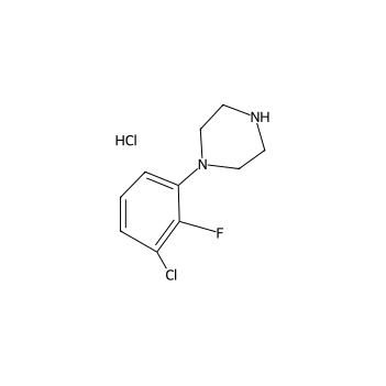 Cl.Fc1c(Cl)cccc1N1CCNCC1